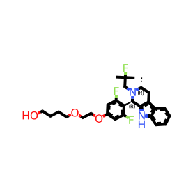 C[C@@H]1Cc2c([nH]c3ccccc23)[C@@H](c2c(F)cc(OCCOCCCCO)cc2F)N1CC(C)(C)F